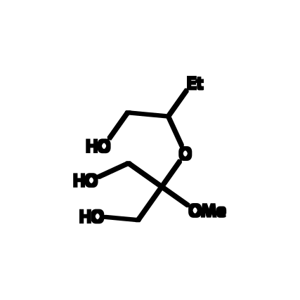 CCC(CO)OC(CO)(CO)OC